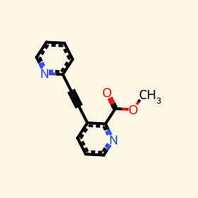 COC(=O)c1ncccc1C#Cc1ccccn1